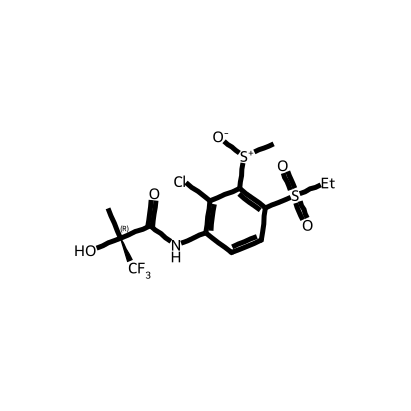 CCS(=O)(=O)c1ccc(NC(=O)[C@@](C)(O)C(F)(F)F)c(Cl)c1[S+](C)[O-]